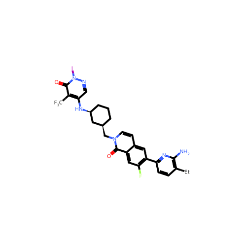 CCc1ccc(-c2cc3ccn(C[C@@H]4CCC[C@H](Nc5cnn(I)c(=O)c5C(F)(F)F)C4)c(=O)c3cc2F)nc1N